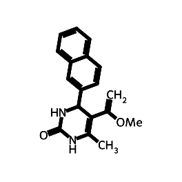 C=C(OC)C1=C(C)NC(=O)NC1c1ccc2ccccc2c1